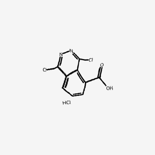 Cl.O=C(O)c1cccc2c(Cl)nnc(Cl)c12